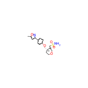 Cc1cc(-c2ccc(OC[C@H]3CCOC[C@@H]3CS(N)(=O)=O)cc2)no1